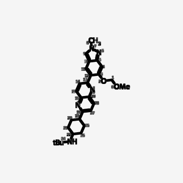 COCOc1cc2nn(C)cc2cc1-c1ccc2nc(C3CCC(NC(C)(C)C)CC3)ccc2n1